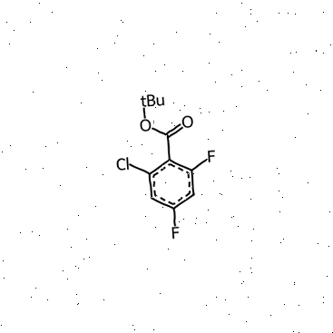 CC(C)(C)OC(=O)c1c(F)cc(F)cc1Cl